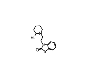 CCC1CCCCN1CCn1c(=O)sc2ccccc21